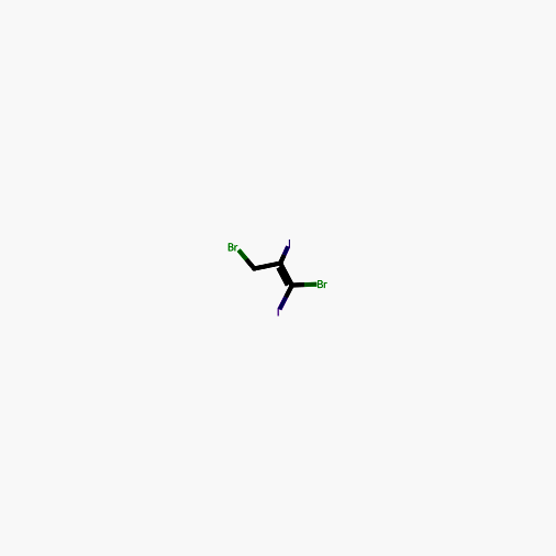 BrCC(I)=C(Br)I